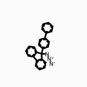 [N-]=[N+]=NC1(c2ccc(-c3ccccc3)cc2)c2ccccc2-c2ccccc21